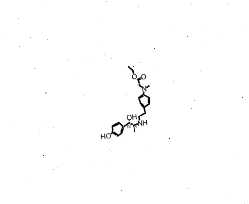 CCOC(=O)CN(C)c1ccc(CCN[C@@H](C)[C@@H](O)c2ccc(O)cc2)cc1